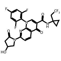 O=C(NC1(CC(F)(F)F)CC1)c1cn(-c2c(F)cc(F)cc2F)c2nc(N3CC(O)CC3=O)ccc2c1=O